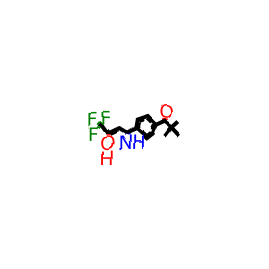 CC(C)(C)C(=O)c1ccc(C(=N)/C=C(\O)C(F)(F)F)cc1